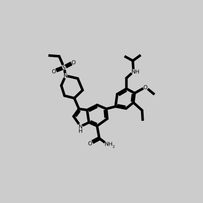 CCc1cc(-c2cc(C(N)=O)c3[nH]cc(C4CCN(S(=O)(=O)CC)CC4)c3c2)cc(CNC(C)C)c1OC